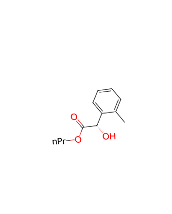 CCCOC(=O)[C@@H](O)c1ccccc1C